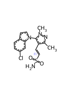 Cc1nn(C)c(-n2ccc3ccc(Cl)cc32)c1/C=C/S(N)(=O)=O